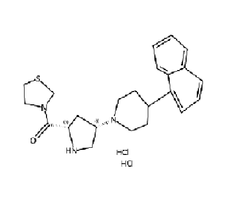 Cl.Cl.O=C([C@@H]1C[C@H](N2CCC(c3cccc4ccccc34)CC2)CN1)N1CCSC1